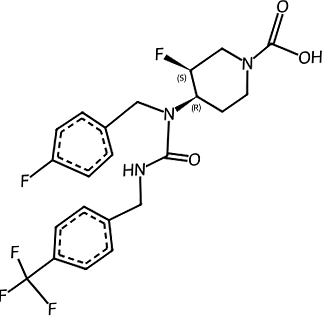 O=C(O)N1CC[C@@H](N(Cc2ccc(F)cc2)C(=O)NCc2ccc(C(F)(F)F)cc2)[C@@H](F)C1